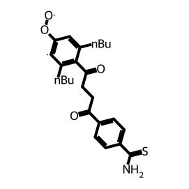 CCCCc1[c]c(O[O])cc(CCCC)c1C(=O)CCC(=O)c1ccc(C(N)=S)cc1